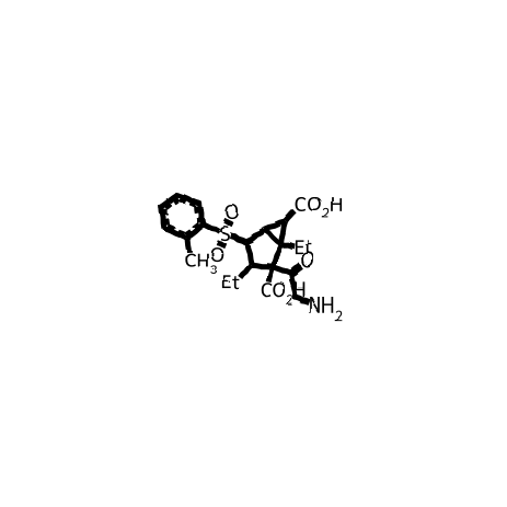 CCC1C(S(=O)(=O)c2ccccc2C)C2C(C(=O)O)C2(CC)C1(C(=O)O)C(=O)CN